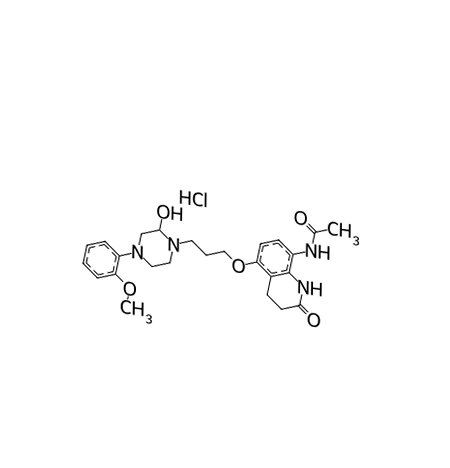 COc1ccccc1N1CCN(CCCOc2ccc(NC(C)=O)c3c2CCC(=O)N3)C(O)C1.Cl